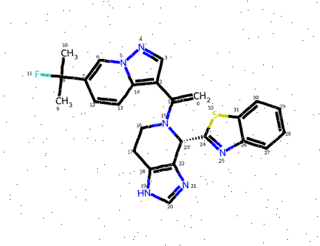 C=C(c1cnn2cc(C(C)(C)F)ccc12)N1CCc2[nH]cnc2[C@H]1c1nc2ccccc2s1